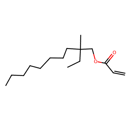 C=CC(=O)OCC(C)(CC)CCCCCCCC